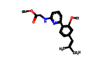 CCOc1cc(/C=C(\C)C(=O)O)ccc1-c1cccc(NCC(=O)OC(C)(C)C)n1